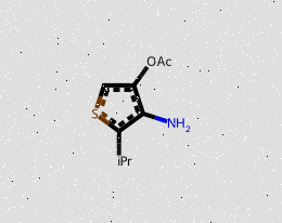 CC(=O)Oc1csc(C(C)C)c1N